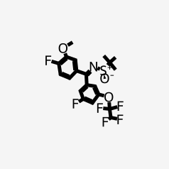 COc1cc(C(=N[S@+]([O-])C(C)(C)C)c2cc(F)cc(OC(F)(F)C(F)F)c2)ccc1F